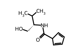 CC(C)[C@@H](CO)NC(=O)C1C=CC=C1